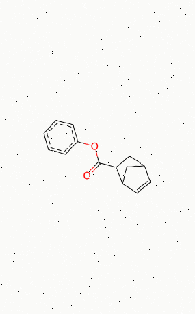 O=C(Oc1ccccc1)C1CC2C=CC1C2